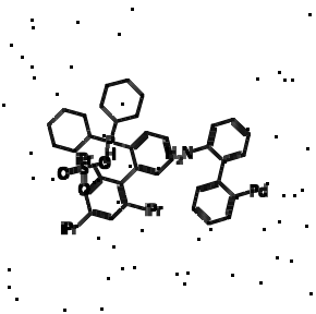 CC(C)c1cc(C(C)C)c(-c2ccccc2[PH](OS(C)(=O)=O)(C2CCCCC2)C2CCCCC2)c(C(C)C)c1.Nc1ccccc1-c1cccc[c]1[Pd]